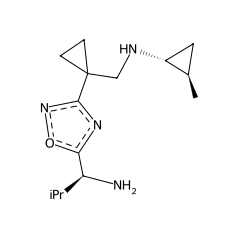 CC(C)[C@H](N)c1nc(C2(CN[C@@H]3C[C@H]3C)CC2)no1